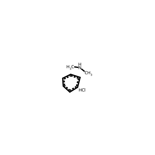 CNC.Cl.c1ccccc1